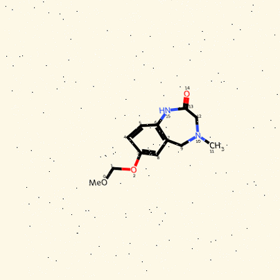 COCOc1ccc2c(c1)CN(C)CC(=O)N2